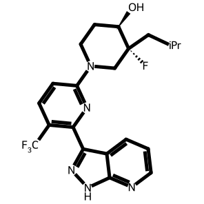 CC(C)C[C@@]1(F)CN(c2ccc(C(F)(F)F)c(-c3n[nH]c4ncccc34)n2)CC[C@H]1O